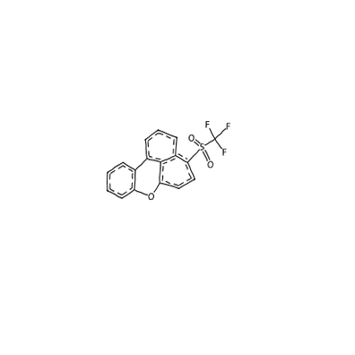 O=S(=O)(c1ccc2c3c(cccc13)-c1ccccc1O2)C(F)(F)F